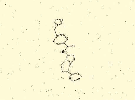 O=C(Nc1ccn2c1CSC2c1cccnc1)c1ccc(Cn2ccnc2)cc1